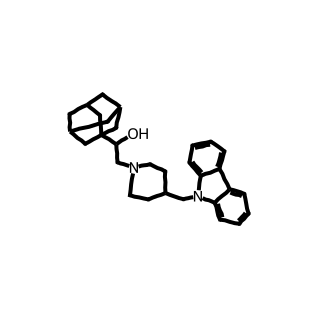 OC(CN1CCC(Cn2c3ccccc3c3ccccc32)CC1)C12CC3CC(CC(C3)C1)C2